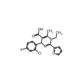 CCN1C(c2ccco2)=NC(c2ccc(F)cc2Cl)C(C(=O)O)=C1C